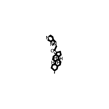 C[C@H]1CC[C@H]2C(CC[C@@H]3[C@@H]2CC[C@]2(C)[C@@H](C(=O)Cn4cc5ccncc5n4)CC[C@@H]32)C1